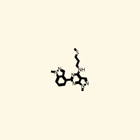 CSCCCNc1nc(-c2cccc3c2cnn3C)nc2c1cnn2C